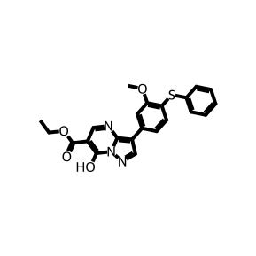 CCOC(=O)c1cnc2c(-c3ccc(Sc4ccccc4)c(OC)c3)cnn2c1O